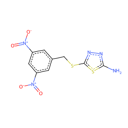 Nc1nnc(SCc2cc([N+](=O)[O-])cc([N+](=O)[O-])c2)s1